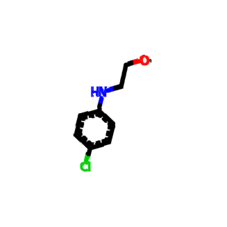 [O]CCNc1ccc(Cl)cc1